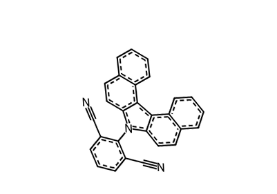 N#Cc1cccc(C#N)c1-n1c2ccc3ccccc3c2c2c3ccccc3ccc21